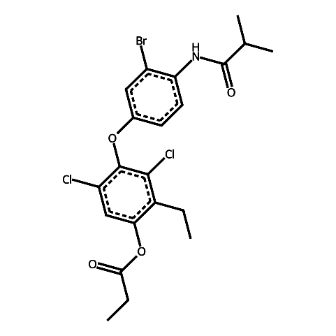 CCC(=O)Oc1cc(Cl)c(Oc2ccc(NC(=O)C(C)C)c(Br)c2)c(Cl)c1CC